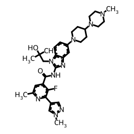 Cc1cc(C(=O)Nc2nc3cc(N4CCC(N5CCN(C)CC5)CC4)ccc3n2CC(C)(C)O)c(F)c(-c2cnn(C)c2)n1